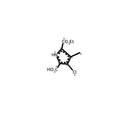 CCOC(=O)c1[nH]c(C(=O)O)c(Cl)c1C